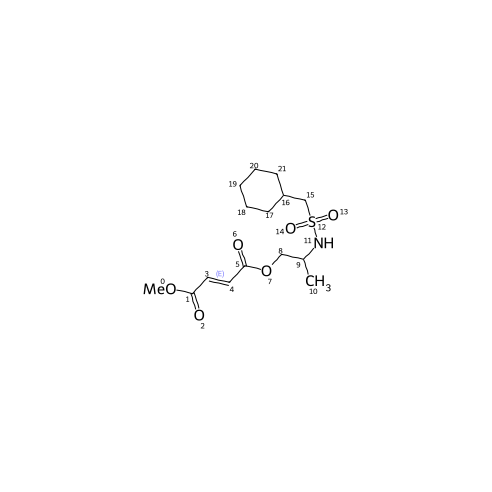 COC(=O)/C=C/C(=O)OCC(C)NS(=O)(=O)CC1CCCCC1